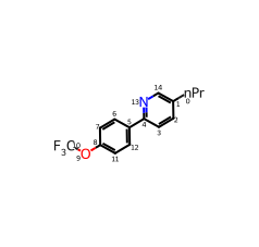 CCCc1ccc(-c2ccc(OC(F)(F)F)cc2)nc1